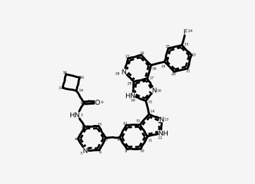 O=C(Nc1cncc(-c2ccc3[nH]nc(-c4nc5c(-c6cccc(F)c6)ccnc5[nH]4)c3c2)c1)C1CCC1